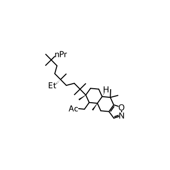 CCCC(C)(C)CC[C@](C)(CC)CCC(C)(C)[C@]1(C)CC[C@H]2C(C)(C)c3oncc3C[C@]2(C)C1CC(C)=O